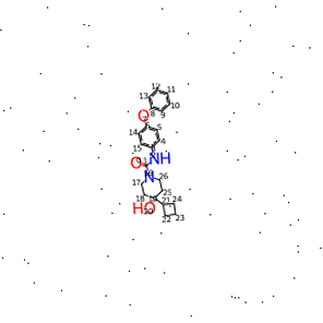 O=C(Nc1ccc(Oc2ccccc2)cc1)N1CCC(O)(C2CCC2)CC1